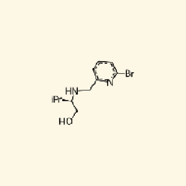 CC(C)[C@H](CO)NCc1cccc(Br)n1